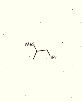 [CH2]SC(C)CCCC